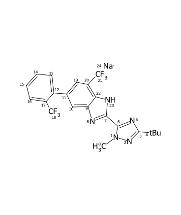 Cn1nc(C(C)(C)C)nc1-c1nc2cc(-c3ccccc3C(F)(F)F)cc(C(F)(F)F)c2[nH]1.[Na]